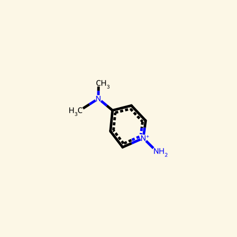 CN(C)c1cc[n+](N)cc1